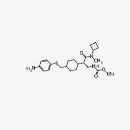 CN(C(=O)[C@@H](CNC(=O)OC(C)(C)C)C1CCC(CSc2ccc(N)cc2)CC1)C1CCC1